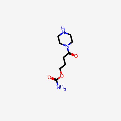 NC(=O)OCCCC(=O)N1CCNCC1